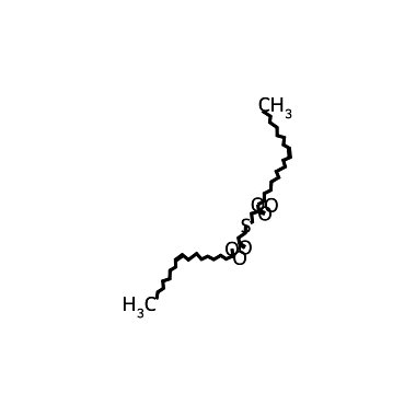 CCCCCCCC/C=C\CCCCCCCC(=O)OC(=O)CCSCCC(=O)OC(=O)CCCCCCC/C=C\CCCCCCCC